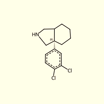 Clc1ccc([C@@]23CCCCC2CNC3)cc1Cl